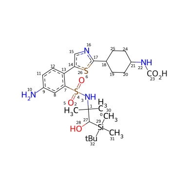 CC(C)(NS(=O)(=O)c1cc(N)ccc1-c1cnc(C2CCC(NC(=O)O)CC2)s1)C(O)[Si](C)(C)C(C)(C)C